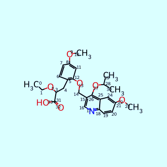 CCOC(Cc1ccc(OC)cc1OCc1cnc2ccc(OC)cc2c1OC(C)C)C(=O)O